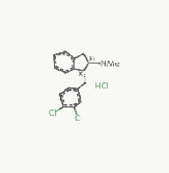 CN[C@@H]1Cc2ccccc2[C@H]1Cc1ccc(Cl)c(Cl)c1.Cl